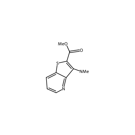 CNc1c(C(=O)OC)sc2cccnc12